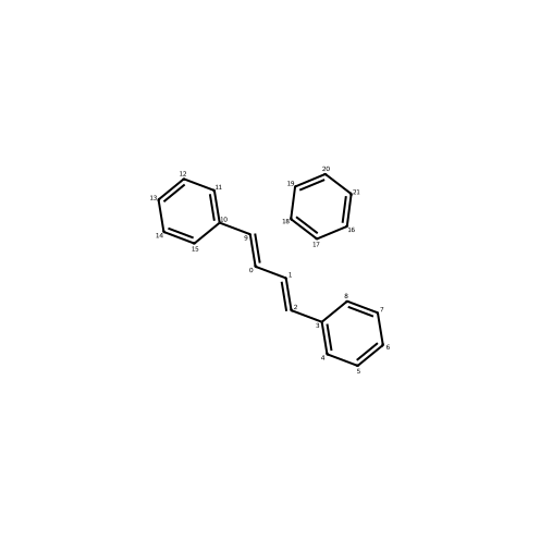 C(C=Cc1ccccc1)=Cc1ccccc1.c1ccccc1